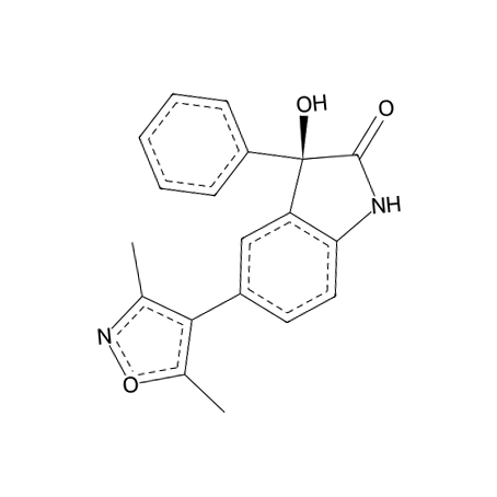 Cc1noc(C)c1-c1ccc2c(c1)[C@](O)(c1ccccc1)C(=O)N2